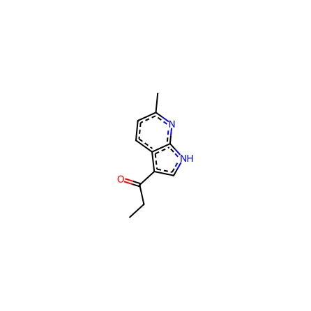 CCC(=O)c1c[nH]c2nc(C)ccc12